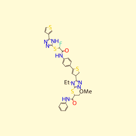 CCn1c(SC(COC)C(=O)Nc2ccccc2)nnc1C1C=C(c2ccc(NC(=O)C(F)Sc3nnc(-c4ccsc4)[nH]3)cc2)SC1